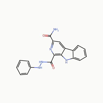 NC(=O)c1cc2c([nH]c3ccccc32)c(C(=O)NNc2ccccc2)n1